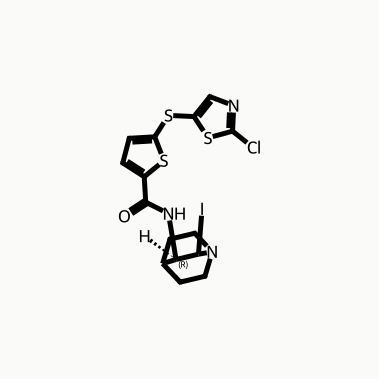 O=C(N[C@@H]1C2CCN(CC2)C1I)c1ccc(Sc2cnc(Cl)s2)s1